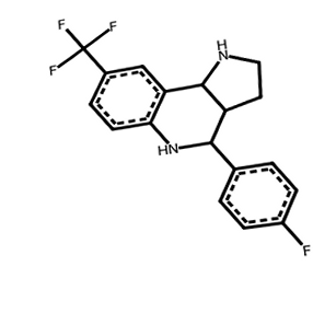 Fc1ccc(C2Nc3ccc(C(F)(F)F)cc3C3NCCC23)cc1